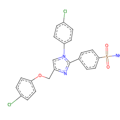 NS(=O)(=O)c1ccc(-c2nc(COc3ccc(Cl)cc3)cn2-c2ccc(Cl)cc2)cc1